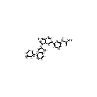 C=C(Nc1cncc(-c2cnc3[nH]nc(-c4cc5c(-c6cccc(F)c6)nccc5[nH]4)c3c2)c1)C(C)C